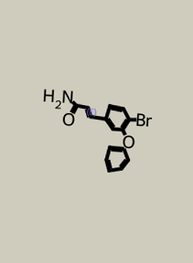 NC(=O)/C=C/c1ccc(Br)c(Oc2ccccc2)c1